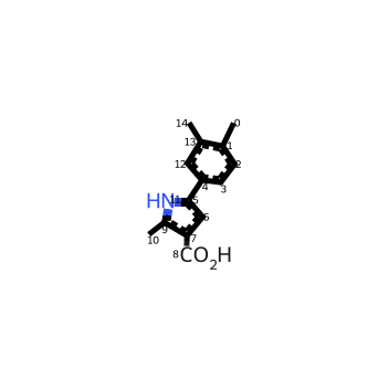 Cc1ccc(-c2cc(C(=O)O)c(C)[nH]2)cc1C